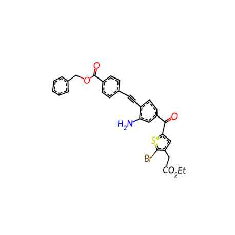 CCOC(=O)Cc1cc(C(=O)c2ccc(C#Cc3ccc(C(=O)OCc4ccccc4)cc3)c(N)c2)sc1Br